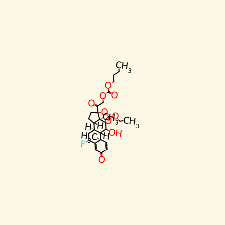 CCCCOC(=O)OCC(=O)[C@@]1(OC(=O)OCC)CC[C@H]2[C@@H]3C[C@H](F)C4=CC(=O)C=C[C@]4(C)[C@H]3C(O)C[C@@]21C